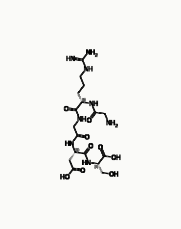 N=C(N)NCCC[C@H](NC(=O)CN)C(=O)NCC(=O)N[C@@H](CC(=O)O)C(=O)N[C@@H](CO)C(=O)O